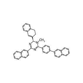 CN1C(c2ccc(-c3ccc4ccccc4c3)cc2)=NC(c2ccc3ccccc3c2)=N[C@H]1C1=Cc2ccccc2CC1